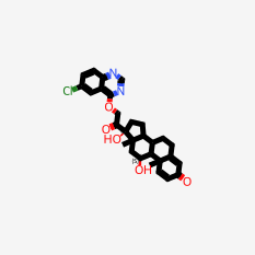 CC12C=CC(=O)C=C1CCC1C2[C@@H](O)CC2(C)C1CC[C@]2(O)C(=O)COc1ncnc2ccc(Cl)cc12